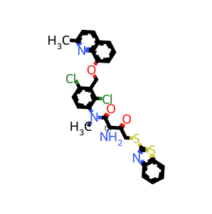 Cc1ccc2cccc(OCc3c(Cl)ccc(N(C)C(=O)[C@@H](N)C(=O)CSc4nc5ccccc5s4)c3Cl)c2n1